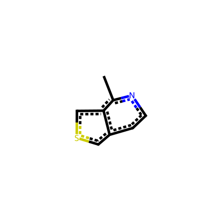 Cc1nccc2cscc12